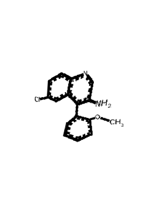 COc1ccccc1-c1c(N)cnc2ccc(Cl)cc12